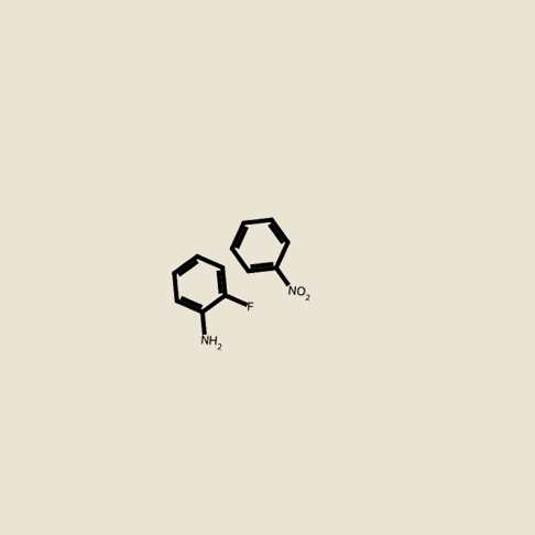 Nc1ccccc1F.O=[N+]([O-])c1ccccc1